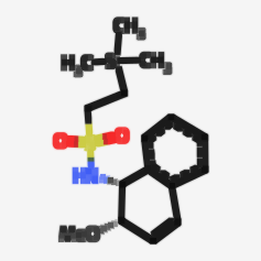 CO[C@H]1C=Cc2ccccc2[C@H]1NS(=O)(=O)CC[Si](C)(C)C